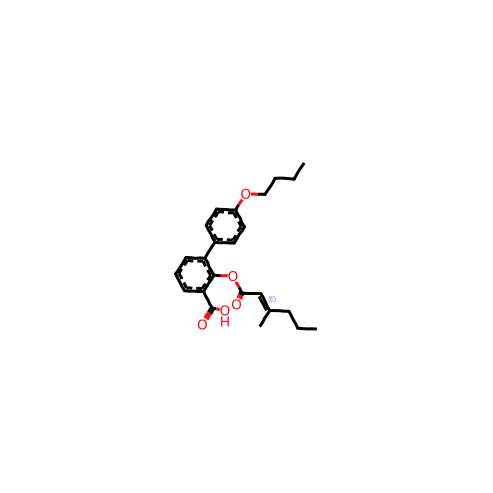 CCCCOc1ccc(-c2cccc(C(=O)O)c2OC(=O)/C=C(\C)CCC)cc1